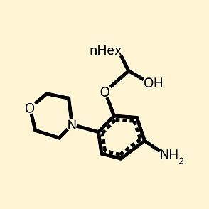 CCCCCCC(O)Oc1cc(N)ccc1N1CCOCC1